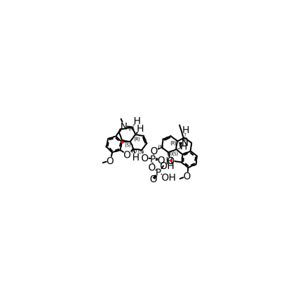 COc1ccc2c3c1O[C@H]1[C@@H](OP(=O)(O[C@H]4C=C[C@H]5[C@H]6Cc7ccc(OC)c8c7[C@@]5(CCN6C)[C@H]4O8)OP(=O)(O)O)C=C[C@H]4[C@@H](C2)N(C)CC[C@@]341